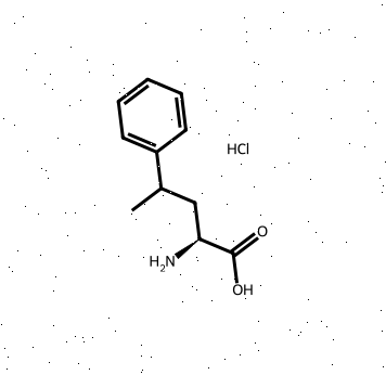 CC(C[C@H](N)C(=O)O)c1ccccc1.Cl